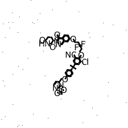 CC(C)(c1ccc(OCc2ccnc(S(C)(=O)=O)n2)cc1)c1cc(Cl)c(OCCC(F)(F)CCOc2ccc3c(=O)n(C4CCC(=O)NC4=O)ncc3c2)c(C#N)c1